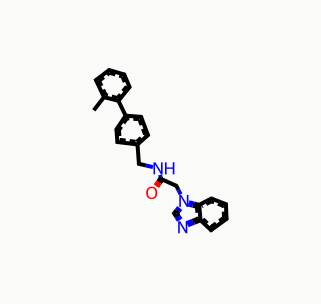 Cc1ccccc1-c1ccc(CNC(=O)Cn2cnc3ccccc32)cc1